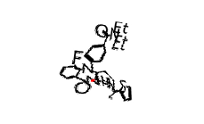 CCN(CC)C(=O)c1ccc(N(c2c(F)cccc2C(N)=O)C2CCN(Cc3cccs3)CC2)cc1